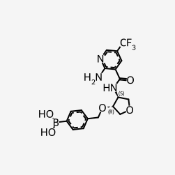 Nc1ncc(C(F)(F)F)cc1C(=O)N[C@H]1COC[C@@H]1OCc1ccc(B(O)O)cc1